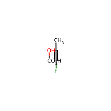 CC#CF.O=C(O)O